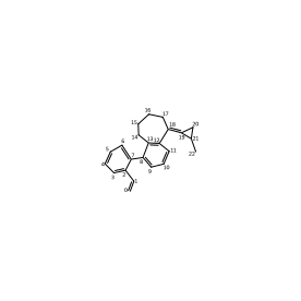 C=Cc1ccccc1-c1cccc2c1CCCCC2=C1CC1C